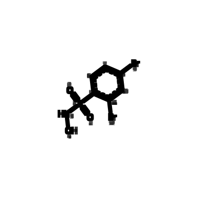 O=S(=O)(NO)c1ccc(Br)cc1Br